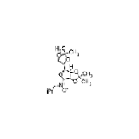 CC(C)/C=[N+](\[O-])[C@@H]1O[C@@H]([C@H]2COC(C)(C)O2)[C@@H]2OC(C)(C)OC21